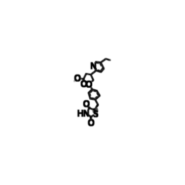 CCc1ccc(C(COc2ccc(C[C@H]3SC(=O)NC3=O)cc2)CC(=O)OC)nc1